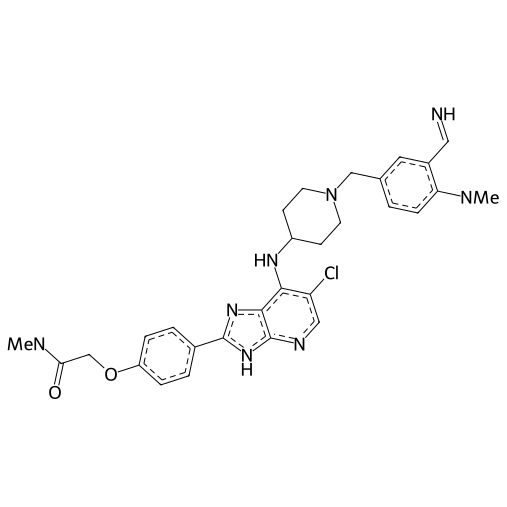 CNC(=O)COc1ccc(-c2nc3c(NC4CCN(Cc5ccc(NC)c(C=N)c5)CC4)c(Cl)cnc3[nH]2)cc1